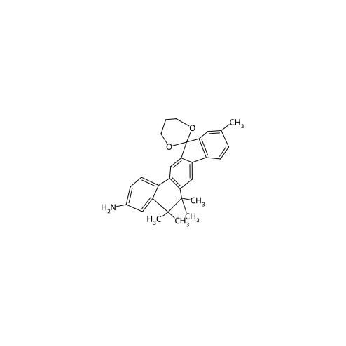 Cc1ccc2c(c1)C1(OCCCO1)c1cc3c(cc1-2)C(C)(C)C(C)(C)c1cc(N)ccc1-3